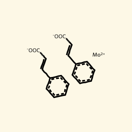 O=C([O-])C=Cc1ccccc1.O=C([O-])C=Cc1ccccc1.[Mo+2]